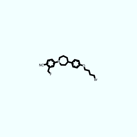 N#Cc1ccc(N2CCCC(c3ccc(OCCCCBr)cc3)CC2)cc1CF